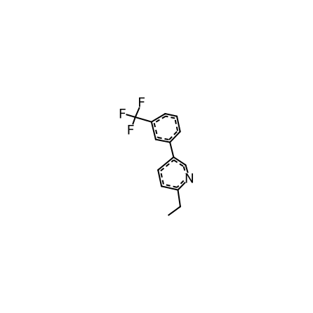 CCc1ccc(-c2cccc(C(F)(F)F)c2)cn1